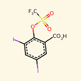 O=C(O)c1cc(I)cc(I)c1OS(=O)(=O)C(F)(F)F